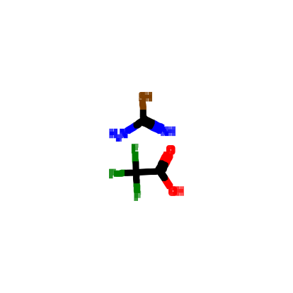 N=C(N)S.O=C(O)C(F)(F)F